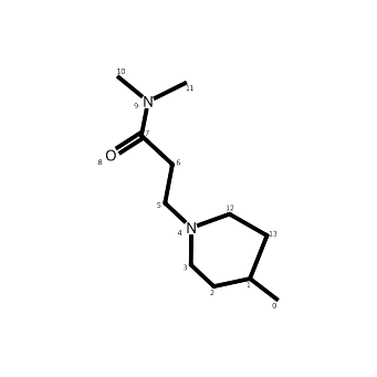 CC1CCN(CCC(=O)N(C)C)CC1